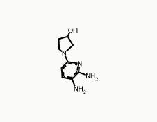 Nc1ccc(N2CCC(O)C2)nc1N